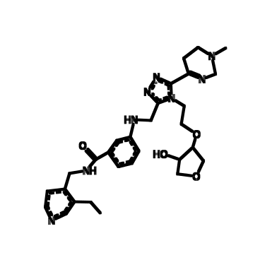 CCc1cnccc1CNC(=O)c1cccc(NCc2nnc(C3=NCN(C)CC3)n2CCOC2COCC2O)c1